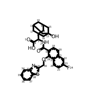 O=C(NC(C(=O)O)C12CC3CC(CC(O)(C3)C1)C2)c1ccc2cc(F)ccc2c1OCc1nc2ccccc2s1